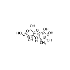 C[C@@H]1O[C@@H](O[C@H]2C(O)O[C@H](CO)[C@H](O)[C@@H]2O)[C@@H](O)[C@H](O)[C@@H]1O